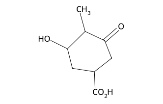 CC1C(=O)CC(C(=O)O)CC1O